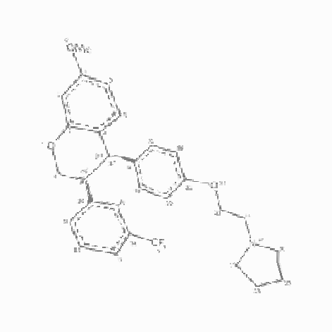 COc1ccc2c(c1)OC[C@H](c1cccc(C(F)(F)F)c1)[C@@H]2c1ccc(OCCN2CCCC2)cc1